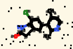 Cc1ccnc(C)c1-c1cc(Cl)c2c(c1)CC(=O)N2